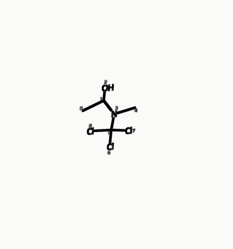 CC(O)N(C)C(Cl)(Cl)Cl